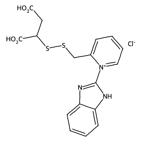 O=C(O)CC(SSCc1cccc[n+]1-c1nc2ccccc2[nH]1)C(=O)O.[Cl-]